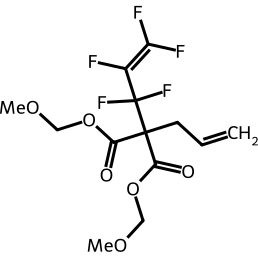 C=CCC(C(=O)OCOC)(C(=O)OCOC)C(F)(F)C(F)=C(F)F